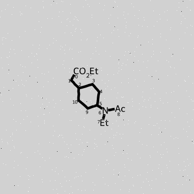 CCOC(=O)CC1CCC(N(CC)C(C)=O)CC1